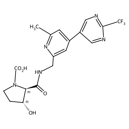 Cc1cc(-c2cnc(C(F)(F)F)nc2)cc(CNC(=O)[C@H]2[C@H](O)CCN2C(=O)O)n1